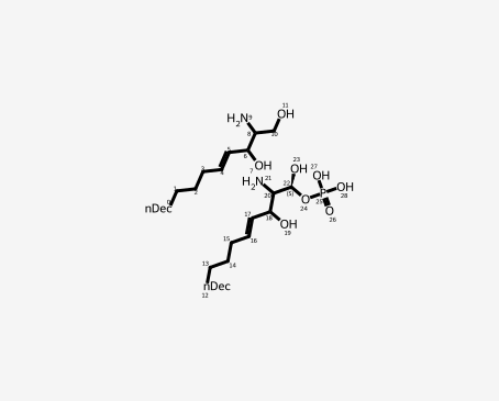 CCCCCCCCCCCCCC=CC(O)C(N)CO.CCCCCCCCCCCCCC=CC(O)C(N)[C@@H](O)OP(=O)(O)O